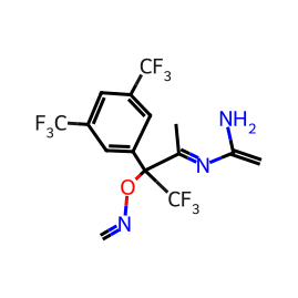 C=NOC(/C(C)=N/C(=C)N)(c1cc(C(F)(F)F)cc(C(F)(F)F)c1)C(F)(F)F